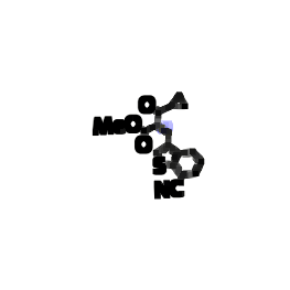 COC(=O)/C(=C\c1csc2c(C#N)cccc12)C(=O)C1CC1